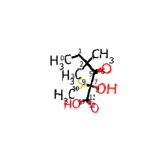 CCC(C)(C)C(=O)C(O)(SC)C(=O)O